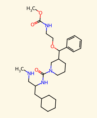 CNCC(CC1CCCCC1)NC(=O)N1CCCC(C(OCCNC(=O)OC)c2ccccc2)C1